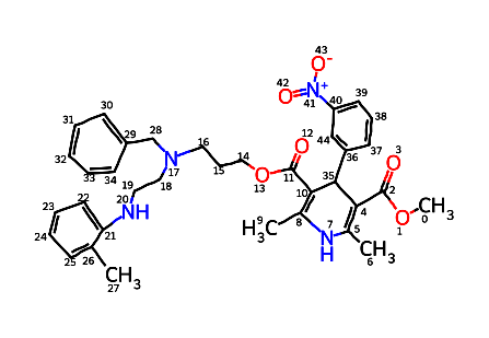 COC(=O)C1=C(C)NC(C)=C(C(=O)OCCCN(CCNc2ccccc2C)Cc2ccccc2)C1c1cccc([N+](=O)[O-])c1